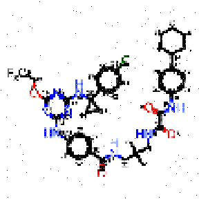 CC(C)(CNC(=O)C(=O)Nc1ccc(C2CCCCC2)cc1)CNC(=O)c1ccc(Nc2nc(NC3(c4ccc(Cl)cc4)CC3)nc(OCC(F)(F)F)n2)cc1